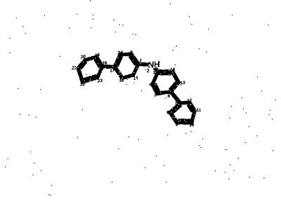 C1=C(Nc2ccc(-c3ccccc3)cc2)CCC(c2ccccc2)=C1